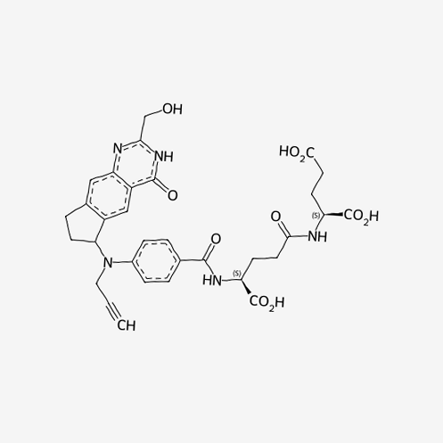 C#CCN(c1ccc(C(=O)N[C@@H](CCC(=O)N[C@@H](CCC(=O)O)C(=O)O)C(=O)O)cc1)C1CCc2cc3nc(CO)[nH]c(=O)c3cc21